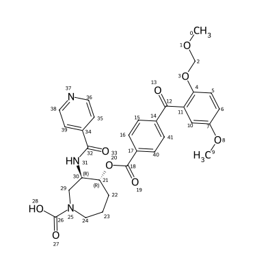 COCOc1ccc(OC)cc1C(=O)c1ccc(C(=O)O[C@@H]2CCCN(C(=O)O)C[C@H]2NC(=O)c2ccncc2)cc1